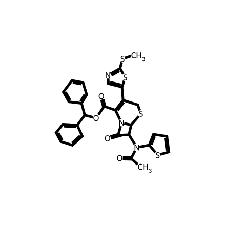 CSc1ncc(C2=C(C(=O)OC(c3ccccc3)c3ccccc3)N3C(=O)C(N(C(C)=O)c4cccs4)C3SC2)s1